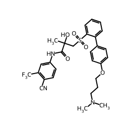 CN(C)CCCOc1ccc(-c2ccccc2S(=O)(=O)CC(C)(O)C(=O)Nc2ccc(C#N)c(C(F)(F)F)c2)cc1